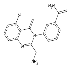 C=C(N)c1cccc(N2C(=C)c3c(Cl)cccc3N=C2CN)c1